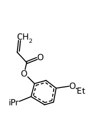 C=CC(=O)Oc1cc(OCC)ccc1C(C)C